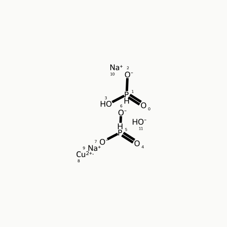 O=[PH]([O-])O.O=[PH]([O-])[O-].[Cu+2].[Na+].[Na+].[OH-]